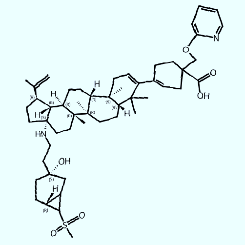 C=C(C)[C@@H]1CC[C@]2(NCC[C@]3(O)CC[C@@H]4C(C3)C4S(C)(=O)=O)CC[C@]3(C)[C@H](CC[C@@H]4[C@@]5(C)CC=C(C6=CCC(COc7ccccn7)(C(=O)O)CC6)C(C)(C)[C@@H]5CC[C@]43C)[C@@H]12